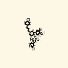 O=C(NCc1ccnc(Cl)c1)n1c2c(c3cc(Br)c(Cl)cc31)CN(CC=Cc1ccc(Cl)cc1)CC2